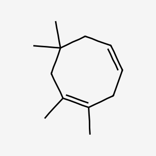 C/C1=C(\C)CC(C)(C)C/C=C\C1